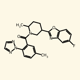 Cc1ccc(-n2nccn2)c(C(=O)N2CC(c3nc4cc(F)ccc4o3)CCC2C)c1